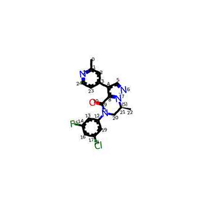 Cc1cc(-c2cnn3c2C(=O)N(c2cc(F)cc(Cl)c2)C[C@@H]3C)ccn1